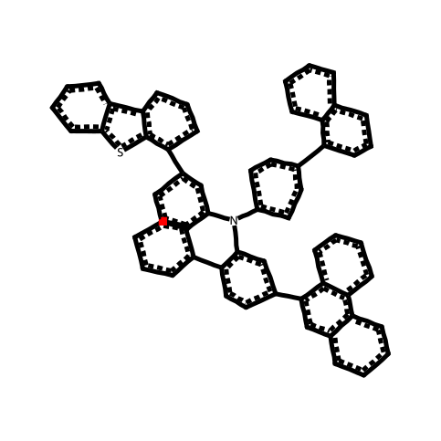 c1ccc(-c2ccc(-c3cc4ccccc4c4ccccc34)cc2N(c2ccc(-c3cccc4ccccc34)cc2)c2cccc(-c3cccc4c3sc3ccccc34)c2)cc1